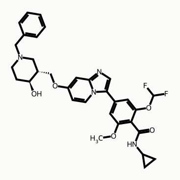 COc1cc(-c2cnc3cc(OC[C@H]4CN(Cc5ccccc5)CC[C@@H]4O)ccn23)cc(OC(F)F)c1C(=O)NC1CC1